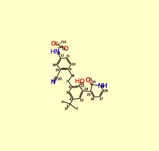 CC(C)(C)c1cc(CCc2ccc(NS(C)(=O)=O)cc2C#N)c(O)c(-c2ccc[nH]c2=O)c1